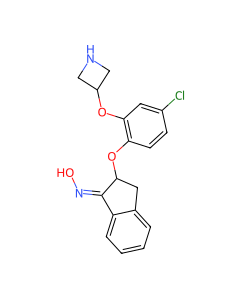 ON=C1c2ccccc2CC1Oc1ccc(Cl)cc1OC1CNC1